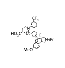 CC[C@H]1CN(C(=O)[C@]2(F)CN(C(C)C)C[C@H]2c2ccc(OC)cc2)C[C@@H]1c1ccc(C(F)(F)F)cc1N1CCC(C(=O)O)CC1